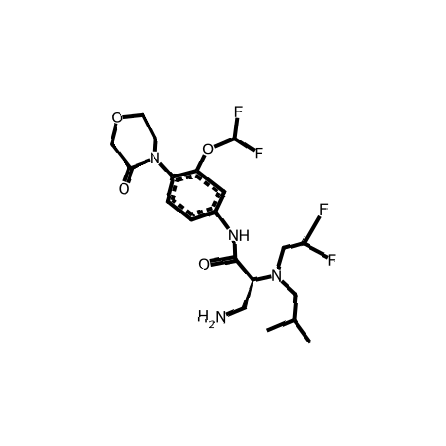 CC(C)CN(CC(F)F)[C@@H](CN)C(=O)Nc1ccc(N2CCOCC2=O)c(OC(F)F)c1